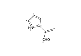 C=C(C=O)c1ccc[nH]1